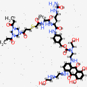 C=CC(=O)N1CN(C(=O)C=C)CN(C(=O)CCSCC(=O)N[C@H](C(=O)N[C@@H](CCCNC(N)=O)C(=O)Nc2ccc(COC(=O)N(CCO)CCNc3ccc(NCCNCCO)c4c3C(=O)c3c(O)ccc(O)c3C4=O)cc2)C(C)C)C1